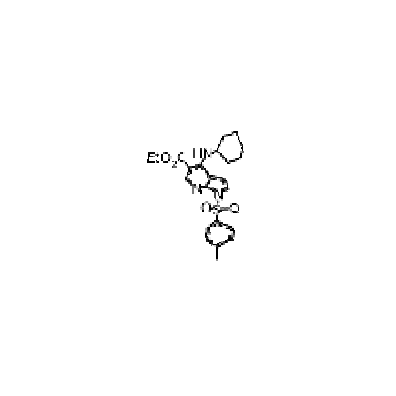 CCOC(=O)c1cnc2c(ccn2S(=O)(=O)c2ccc(C)cc2)c1NC1CCCCC1